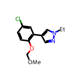 CCn1cc(-c2cc(Cl)ccc2OCOC)cn1